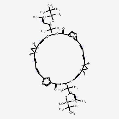 C/C=C/[C@H](O[Si](C)(C)C(C)(C)C)C(C)(C)[C@@H]1C/C=C\[C@H]2C[C@H]2/C=C/C=C\c2nc(cs2)C(=O)O[C@H](C(C)(C)[C@H](/C=C/C)O[Si](C)(C)C(C)(C)C)C/C=C\[C@H]2C[C@H]2/C=C/C=C\c2nc(cs2)C(=O)O1